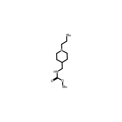 CC(C)(C)CCN1CCC(CNC(=O)OC(C)(C)C)CC1